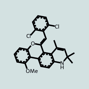 COc1cccc2c1-c1ccc3c(c1C(=Cc1c(Cl)cccc1Cl)O2)C(C)=CC(C)(C)N3